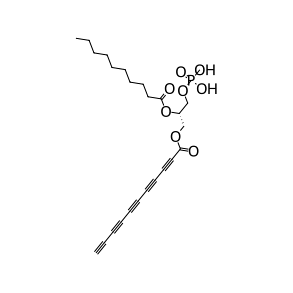 C#CC#CC#CC#CC#CC(=O)OC[C@@H](COP(=O)(O)O)OC(=O)CCCCCCCCC